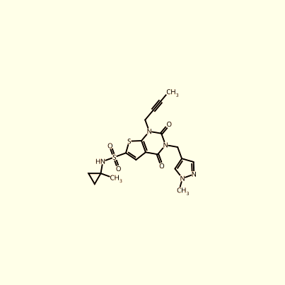 CC#CCn1c(=O)n(Cc2cnn(C)c2)c(=O)c2cc(S(=O)(=O)NC3(C)CC3)sc21